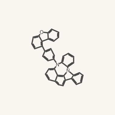 c1ccc2c(c1)oc1cccc(-c3ccc(-n4c5cccc6ccc7c8ccccc8n(c8ccccc84)c7c65)cc3)c12